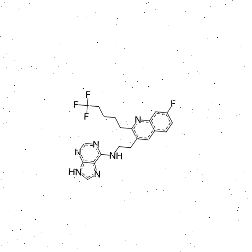 Fc1ccc2cc(CCNc3ncnc4[nH]cnc34)c(CCCCC(F)(F)F)nc2c1